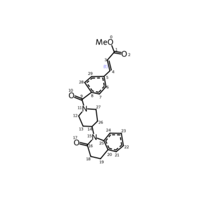 COC(=O)/C=C/c1ccc(C(=O)N2CCC(N3C(=O)CCc4ccccc43)CC2)cc1